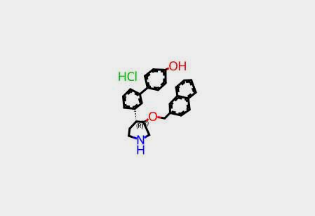 Cl.Oc1ccc(-c2cccc([C@H]3CCNC[C@@H]3OCc3ccc4ccccc4c3)c2)cc1